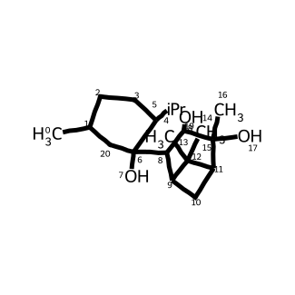 CC1CCC(C(C)C)C(O)(C2C3CC(C3(C)C)C(C)(O)C2O)C1